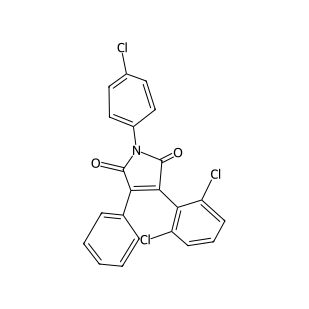 O=C1C(c2ccccc2)=C(c2c(Cl)cccc2Cl)C(=O)N1c1ccc(Cl)cc1